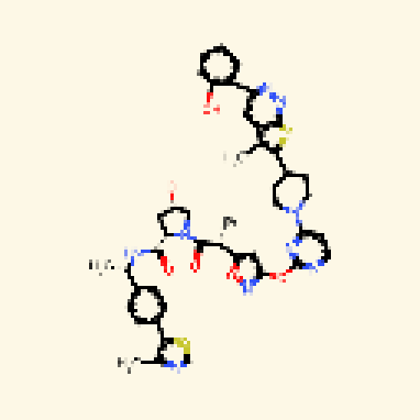 Cc1ncsc1-c1ccc([C@H](C)NC(=O)[C@@H]2C[C@@H](O)CN2C(=O)[C@@H](c2cc(Oc3nccc(N4CCC(c5sc6nnc(-c7ccccc7O)cc6c5C)CC4)n3)no2)C(C)C)cc1